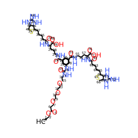 C#CCOC(=O)CCOCCOCCOCCNC(=O)Nc1cc(C(=O)NCCCC(NC(=O)CCCCC2SCC3NC(=N)NC32)C(=O)O)cc(C(=O)NCCCC(NC(=O)CCCCC2SCC3NC(=N)NC32)C(=O)O)c1